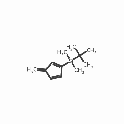 C=C1C=CC([Si](C)(C)C(C)(C)C)=C1